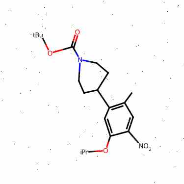 Cc1cc([N+](=O)[O-])c(OC(C)C)cc1C1CCN(C(=O)OC(C)(C)C)CC1